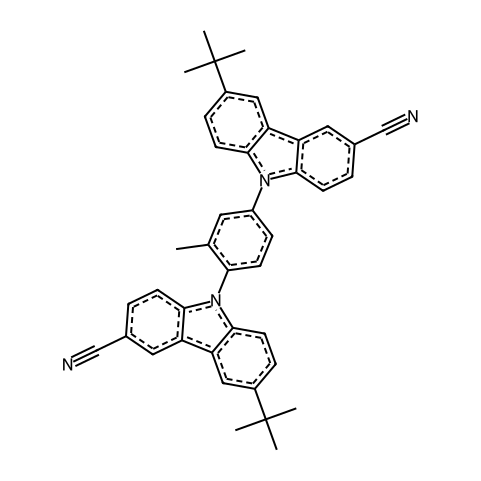 Cc1cc(-n2c3ccc(C#N)cc3c3cc(C(C)(C)C)ccc32)ccc1-n1c2ccc(C#N)cc2c2cc(C(C)(C)C)ccc21